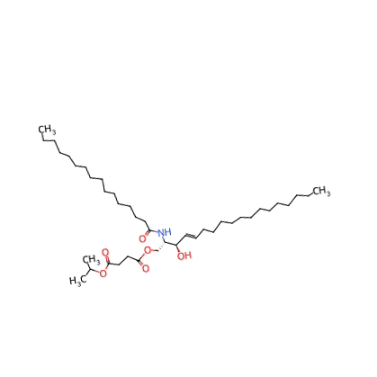 CCCCCCCCCCCCC/C=C/[C@@H](O)[C@H](COC(=O)CCC(=O)OC(C)C)NC(=O)CCCCCCCCCCCCCCC